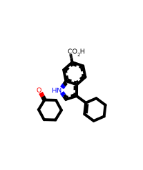 O=C(O)c1ccc2c(C3=CCCCC3)c[nH]c2c1.O=C1CCCCC1